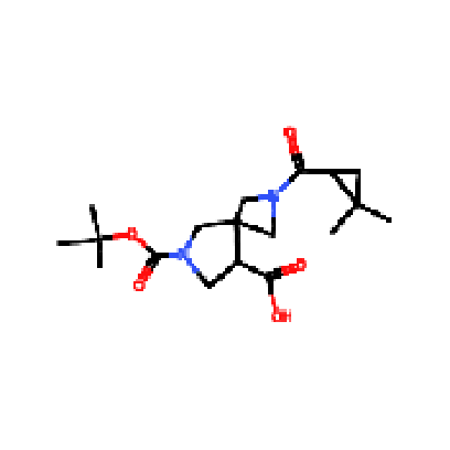 CC(C)(C)OC(=O)N1CC(C(=O)O)C2(C1)CN(C(=O)C1CC1(C)C)C2